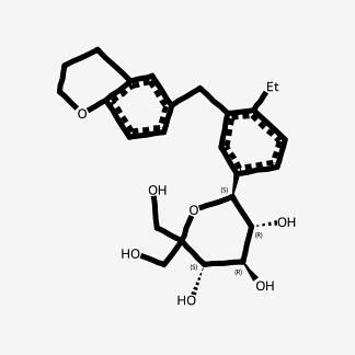 CCc1ccc([C@@H]2OC(CO)(CO)[C@@H](O)[C@H](O)[C@H]2O)cc1Cc1ccc2c(c1)CCCO2